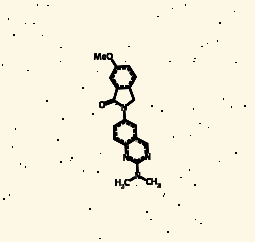 COc1ccc2c(c1)C(=O)N(c1ccc3nc(N(C)C)ncc3c1)C2